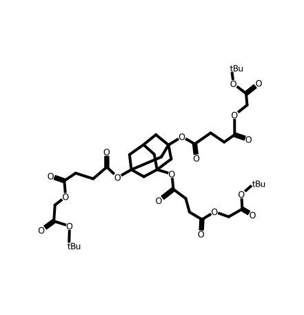 CC(C)(C)OC(=O)COC(=O)CCC(=O)OC12CC3CC(OC(=O)CCC(=O)OCC(=O)OC(C)(C)C)(C1)CC(OC(=O)CCC(=O)OCC(=O)OC(C)(C)C)(C3)C2